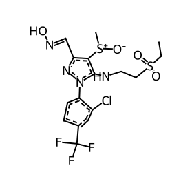 CCS(=O)(=O)CCNc1c([S+](C)[O-])c(/C=N/O)nn1-c1ccc(C(F)(F)F)cc1Cl